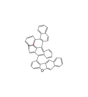 c1ccc(-c2c(-c3c4ccccc4c(-c4cccc5oc6cc7ccccc7cc6c45)c4ccccc34)ccc3ccccc23)cc1